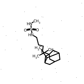 CNS(=O)(=O)NCCCOC12CC3CC(C1)C(C(C)(C)C)C(C3)C2